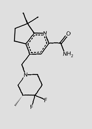 C[C@@H]1CN(Cc2cc(C(N)=O)nc3c2CCC3(C)C)CCC1(F)F